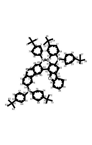 CC(C)(C)c1ccc(N2B3c4cc(C(C)(C)C)ccc4N(c4ccc(C(C)(C)C)cc4)c4cc5c(oc6ccccc65)c(c43)-c3cc4c(cc32)sc2ccc(N(c3ccc(C(C)(C)C)cc3)c3ccc(C(C)(C)C)cc3)cc24)cc1